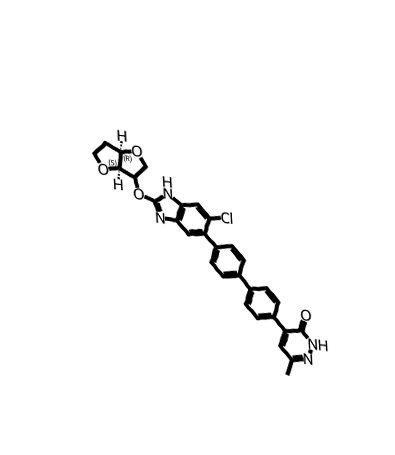 Cc1cc(-c2ccc(-c3ccc(-c4cc5nc(OC6CO[C@@H]7CCO[C@H]67)[nH]c5cc4Cl)cc3)cc2)c(=O)[nH]n1